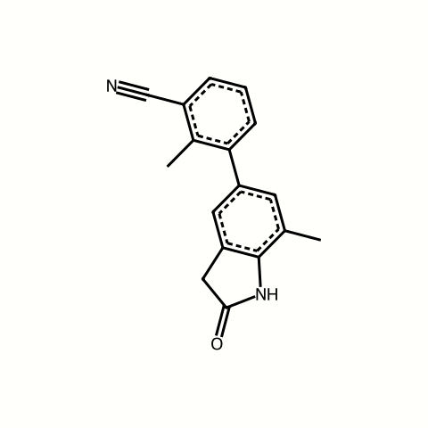 Cc1cc(-c2cccc(C#N)c2C)cc2c1NC(=O)C2